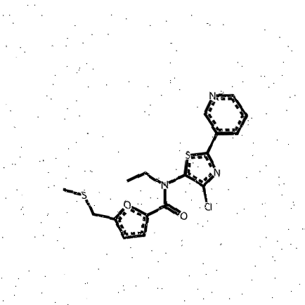 CCN(C(=O)c1ccc(CSC)o1)c1sc(-c2cccnc2)nc1Cl